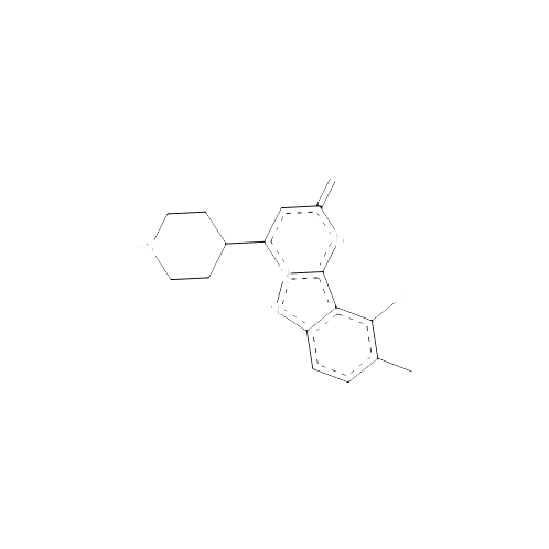 Cc1ccc2nn3c(C4CCNCC4)cc(=O)[nH]c3c2c1Cl